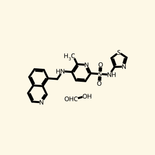 Cc1nc(S(=O)(=O)Nc2cscn2)ccc1NCc1cccc2ccncc12.O=CO